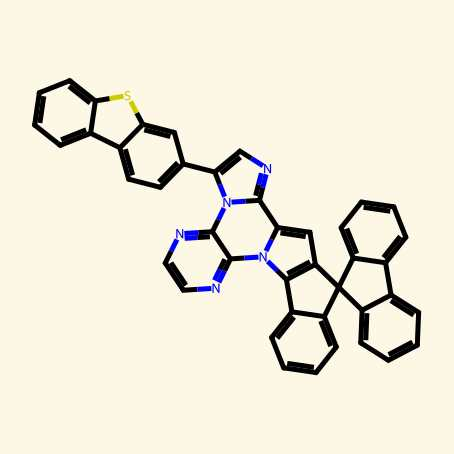 c1ccc2c(c1)-c1ccccc1C21c2ccccc2-c2c1cc1c3ncc(-c4ccc5c(c4)sc4ccccc45)n3c3nccnc3n21